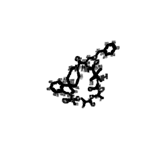 CC(C)C(=O)O[C@H](C)OC(=O)NC(C)(C)C(=O)N[C@H](COCc1ccccc1)C(=O)N1CCC2(CC1)CN(S(C)(=O)=O)c1ccccc12